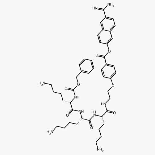 N=C(N)c1ccc2cc(OC(=O)c3ccc(OCCNC(=O)[C@H](CCCCN)NC(=O)[C@H](CCCCN)NC(=O)[C@H](CCCCN)NC(=O)OCc4ccccc4)cc3)ccc2c1